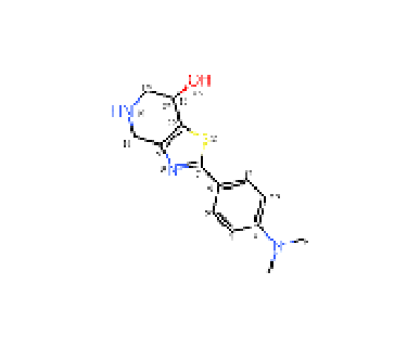 CN(C)c1ccc(-c2nc3c(s2)[C@H](O)CNC3)cc1